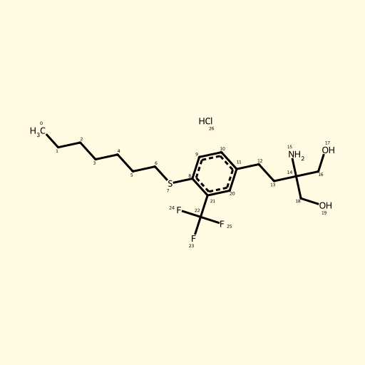 CCCCCCCSc1ccc(CCC(N)(CO)CO)cc1C(F)(F)F.Cl